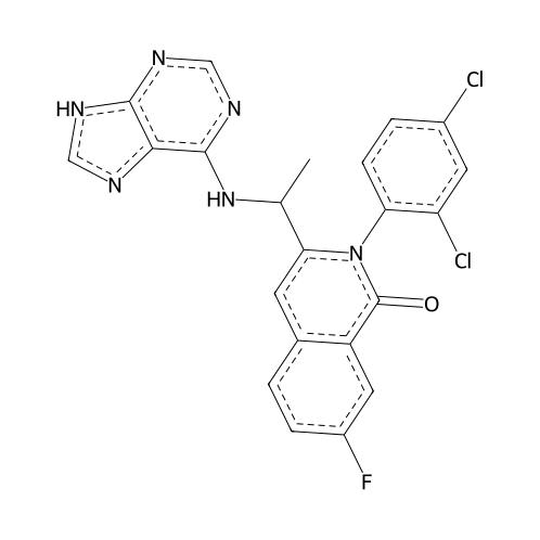 CC(Nc1ncnc2[nH]cnc12)c1cc2ccc(F)cc2c(=O)n1-c1ccc(Cl)cc1Cl